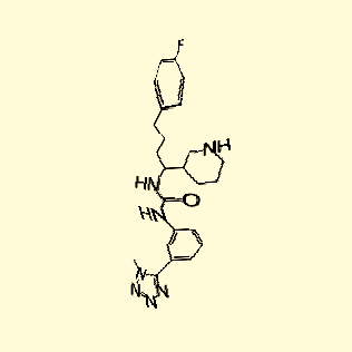 Cn1nnnc1-c1cccc(NC(=O)NC(CCCc2ccc(F)cc2)C2CCCNC2)c1